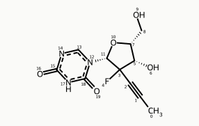 CC#CC1(F)[C@@H](O)[C@@H](CO)O[C@H]1n1cnc(=O)[nH]c1=O